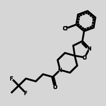 CC(F)(F)CCCC(=O)N1CCC2(CC1)CC(c1ccccc1Cl)=NO2